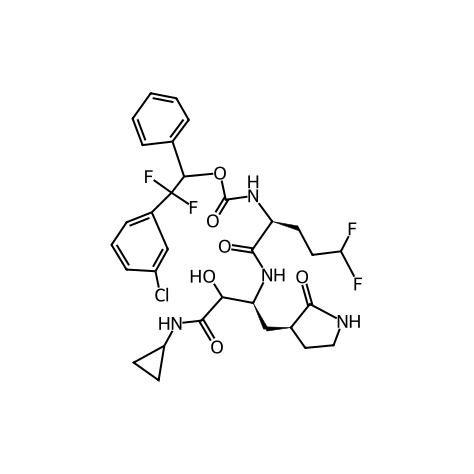 O=C(N[C@@H](CCC(F)F)C(=O)N[C@@H](C[C@@H]1CCNC1=O)C(O)C(=O)NC1CC1)OC(c1ccccc1)C(F)(F)c1cccc(Cl)c1